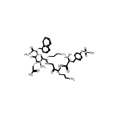 [2H]N[C@@H](Cc1ccc(OS(=O)(=O)O)cc1)C(=O)N[C@@H](CCCC)C(=O)CN[C@@H](CCCC)C(=O)N(C)[C@H](CC(=O)O)C(=O)N[C@@H](Cc1cccc2ccccc12)C(N)=O